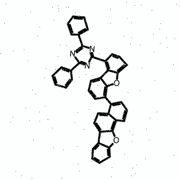 c1ccc(-c2nc(-c3ccccc3)nc(-c3cccc4oc5c(-c6cccc7c6ccc6c8ccccc8oc76)cccc5c34)n2)cc1